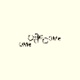 COc1cccc(OP(Cl)Oc2cccc(OC)c2)c1